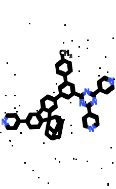 Cc1ccc(-c2cc(-c3ccc4c(c3)C3(c5ccc(-c6ccncc6)cc5-4)C4CC5CC(C4)CC3C5)cc(-c3nc(-c4ccncc4)nc(-c4ccncc4)n3)c2)cc1